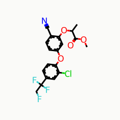 COC(=O)C(C)Oc1cc(Oc2ccc(C(F)(F)CF)cc2Cl)ccc1C#N